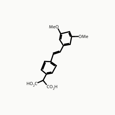 COc1cc(C=Cc2ccc(C(C(=O)O)C(=O)O)cc2)cc(OC)c1